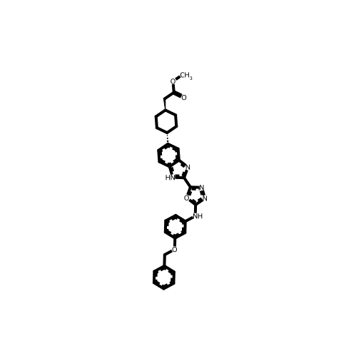 COC(=O)C[C@H]1CC[C@H](c2ccc3[nH]c(-c4nnc(Nc5cccc(OCc6ccccc6)c5)o4)nc3c2)CC1